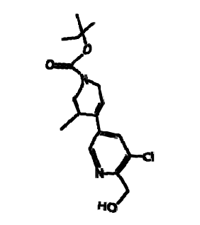 CC1CN(C(=O)OC(C)(C)C)CC=C1c1cnc(CO)c(Cl)c1